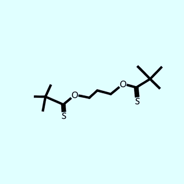 CC(C)(C)C(=S)OCCCOC(=S)C(C)(C)C